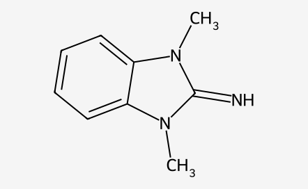 Cn1c(=N)n(C)c2ccccc21